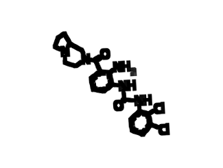 Nc1c(NC(=O)Nc2cccc(Cl)c2Cl)cccc1C(=O)N1CCN2CCCC2C1